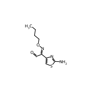 CCCCO/N=C(\[C]=O)c1csc(N)n1